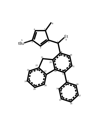 CCC(C1=CC(C(C)(C)C)=CC1C)c1ccc(-c2ccccc2)c2c1Cc1ccccc1-2